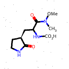 CON(C)C(=O)C(C[C@@H]1CCNC1=O)NC(=O)O